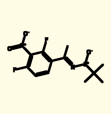 C/C(=N\[S+]([O-])C(C)(C)C)c1ccc(F)c([N+](=O)[O-])c1F